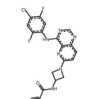 C=CC(=O)NC1CN(c2ccc3ncnc(Nc4cc(F)c(Cl)cc4F)c3n2)C1